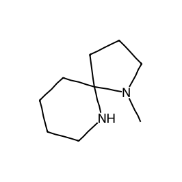 CN1CCCC12CCCCN2